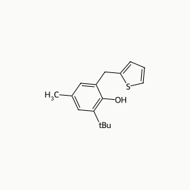 Cc1cc(Cc2cccs2)c(O)c(C(C)(C)C)c1